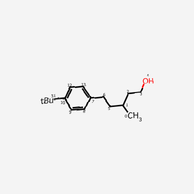 CC(CCO)CCc1ccc(C(C)(C)C)cc1